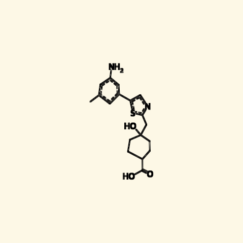 Cc1cc(N)cc(-c2cnc(CC3(O)CCC(C(=O)O)CC3)s2)c1